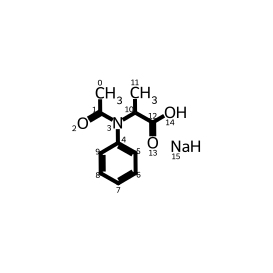 CC(=O)N(c1ccccc1)C(C)C(=O)O.[NaH]